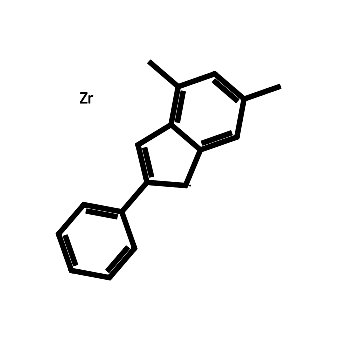 Cc1cc(C)c2c(c1)[CH]C(c1ccccc1)=C2.[Zr]